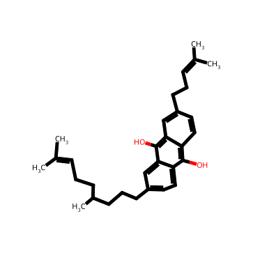 CC(C)=CCCc1ccc2c(O)c3ccc(CCCC(C)CCC=C(C)C)cc3c(O)c2c1